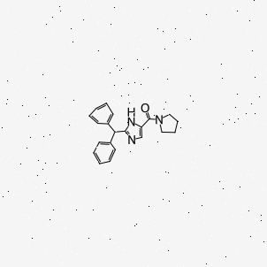 O=C(c1cnc(C(c2ccccc2)c2ccccc2)[nH]1)N1CCCC1